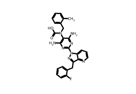 Cc1ccccc1CN(C(=O)O)c1c(N)nc(-n2nc(Cc3ccccc3F)c3ncccc32)nc1N